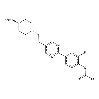 CCCCC[C@H]1CC[C@H](CCc2cnc(-c3ccc(OC(=O)CC)c(F)c3)nc2)CC1